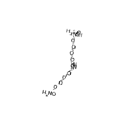 CN(CCOCCOCCOCCOCc1cn(CCOCCOCCOCCOCCC(N)=O)nn1)[SH]=O